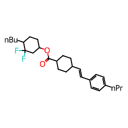 CCCCC1CCC(OC(=O)C2CCC(/C=C/c3ccc(CCC)cc3)CC2)CC1(F)F